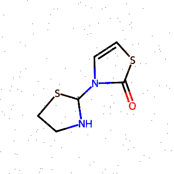 O=c1sccn1[C]1NCCS1